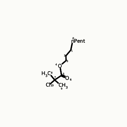 CCCCCCCCOC(=O)C(C)(C)Cl